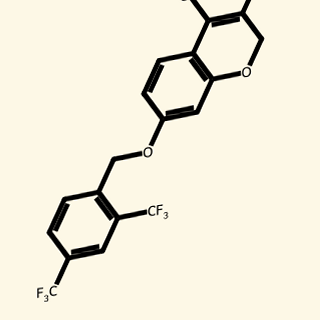 O=CC1=C(Cl)c2ccc(OCc3ccc(C(F)(F)F)cc3C(F)(F)F)cc2OC1